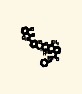 COc1cccc(C(=O)NCC2CCCCC2)c1NC(=O)N[C@@H](Cc1ccc(NC(=O)c2c(Cl)cccc2Cl)cc1)C(=O)O